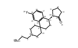 CC(C)(C)CCN1CCC2(CC[C@H](N3CCCC3=O)c3ccc(F)cc32)CC1